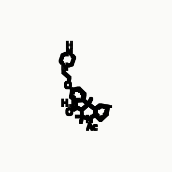 CC(=O)N1c2cc[c]cc2C(C)(c2ccc(OCCN3CCNCC3)cc2)C(C(N)=O)C1(C)C